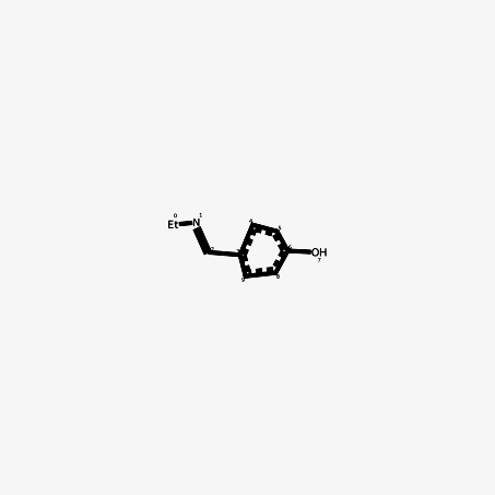 CCN=Cc1ccc(O)cc1